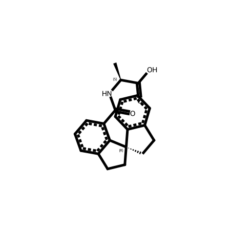 C[C@H](NC(=O)c1cccc2c1[C@]1(CCc3ccccc31)CC2)C(=O)O